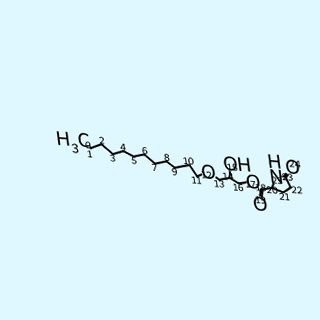 CCCCCCCCCCCCOCC(O)COC(=O)C1CCC(=O)N1